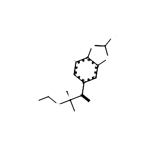 BCN[C@@](B)(C)C(=O)c1ccc2c(c1)OC(O)O2